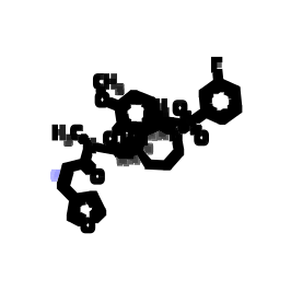 COc1ccc2c3c1O[C@H]1[C@H](N(C)C(=O)/C=C\c4ccoc4)CC[C@@]4(O)[C@@H](C2)N(S(=O)(=O)c2cccc(F)c2)CCC[C@]314